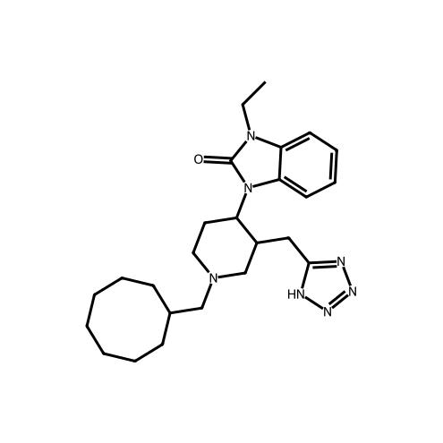 CCn1c(=O)n(C2CCN(CC3CCCCCCC3)CC2Cc2nnn[nH]2)c2ccccc21